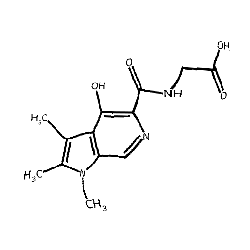 Cc1c(C)n(C)c2cnc(C(=O)NCC(=O)O)c(O)c12